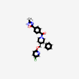 Cc1noc(-c2ccc(C(=O)N3CC[C@H](COc4ccc(Cl)cn4)[C@@H](c4ccccc4)C3)cc2)n1